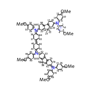 C/C=C(\C=C/COC)N(c1ccc(OC)cc1)c1ccc2c(c1)C(C)(C)c1cc(N(c3ccc(OC)cc3)c3ccc(-c4ccc(N(c5ccc(OC)cc5)c5ccc6c(c5)C(C)(C)c5cc(N(c7ccc(OC)cc7)c7ccc(OC)cc7)ccc5-6)cc4)cc3)ccc1-2